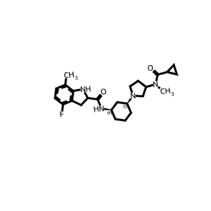 Cc1ccc(F)c2c1NC(C(=O)N[C@@H]1CCC[C@H](N3CCC(N(C)C(=O)C4CC4)C3)C1)C2